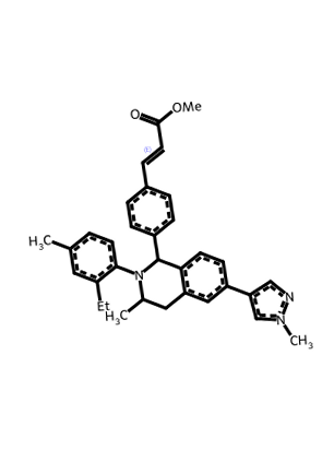 CCc1cc(C)ccc1N1C(C)Cc2cc(-c3cnn(C)c3)ccc2C1c1ccc(/C=C/C(=O)OC)cc1